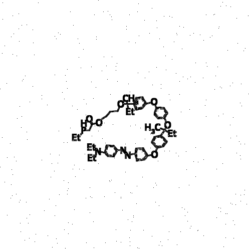 CCPCC(=O)OCCCCOC(C)(CC)c1ccc(Oc2ccc(OC(C)(CC)c3ccc(Oc4ccc(N=Nc5ccc(N(CC)CC)cc5)cc4)cc3)cc2)cc1